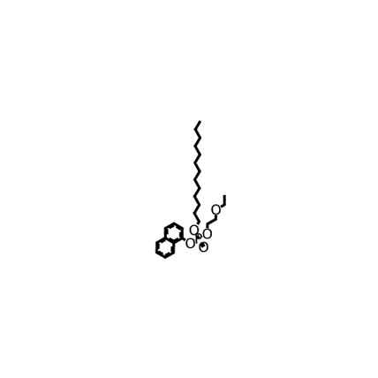 CCCCCCCCCCCCCOP(=O)(OCCOCC)Oc1cccc2ccccc12